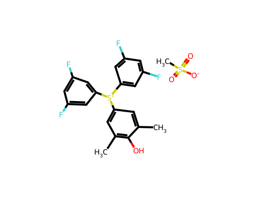 CS(=O)(=O)[O-].Cc1cc([S+](c2cc(F)cc(F)c2)c2cc(F)cc(F)c2)cc(C)c1O